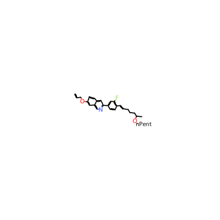 C=CCOc1ccc2cc(-c3ccc(/C=C/CCCC(C)OCCCCC)c(F)c3)ncc2c1